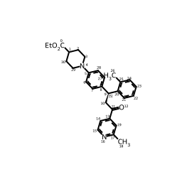 CCOC(=O)C1CCN(c2ccc([C@H](CC(=O)c3ccnc(C)c3)c3ccccc3C)cc2)CC1